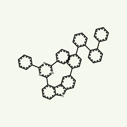 c1ccc(-c2nc(-c3ccccc3)nc(-c3cccc4sc5ccc(-c6ccc(-c7ccccc7-c7ccccc7-c7ccccc7)cc6)cc5c34)n2)cc1